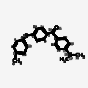 Cc1ccc(Sc2ccc(C(=O)c3ccc(N(C)C)cc3)cc2)cc1